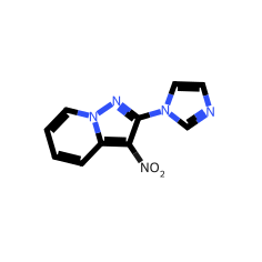 O=[N+]([O-])c1c(-n2ccnc2)nn2ccccc12